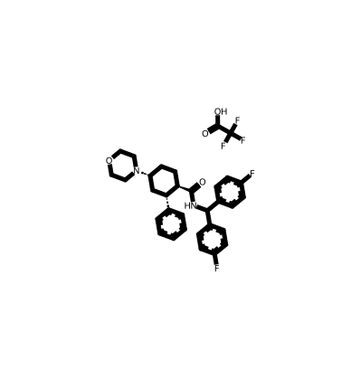 O=C(NC(c1ccc(F)cc1)c1ccc(F)cc1)[C@@H]1CC[C@@H](N2CCOCC2)C[C@H]1c1ccccc1.O=C(O)C(F)(F)F